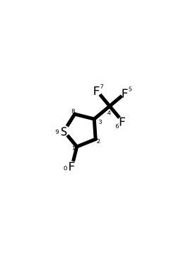 FC1CC(C(F)(F)F)CS1